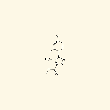 COC(=O)c1cnn(-c2ccc(Cl)cc2C)c1N